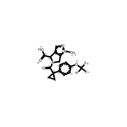 Cn1ncc2c1CN(C(=O)C1(c3ccc(OC(F)(F)F)cc3)CC1)C2C(=O)O